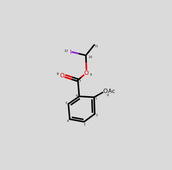 CC(=O)Oc1ccccc1C(=O)OC(C)I